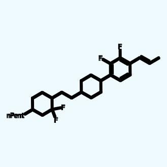 C/C=C/c1ccc(C2CCC(CCC3CCC(CCCCC)CC3(F)F)CC2)c(F)c1F